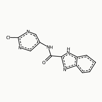 O=C(Nc1cnc(Cl)nc1)c1nc2ccccc2[nH]1